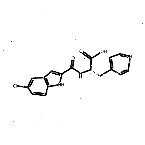 O=C(N[C@@H](Cc1ccncc1)C(=O)O)c1cc2cc(Cl)ccc2[nH]1